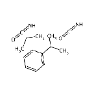 CC(C)c1ccccc1.CCC.N=C=O.N=C=O